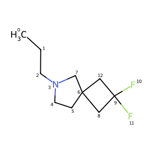 CCCN1CCC2(C1)CC(F)(F)C2